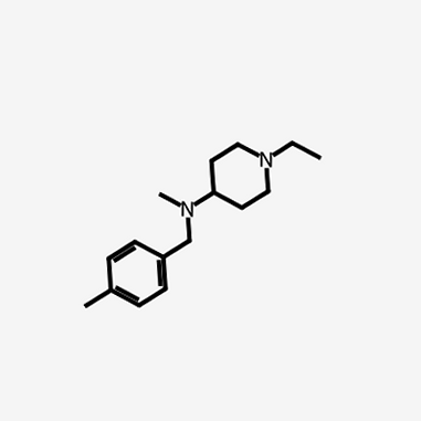 CCN1CCC(N(C)Cc2ccc(C)cc2)CC1